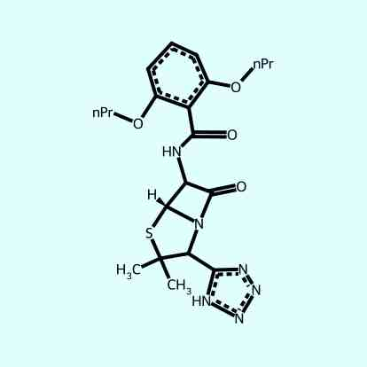 CCCOc1cccc(OCCC)c1C(=O)NC1C(=O)N2C(c3nnn[nH]3)C(C)(C)S[C@H]12